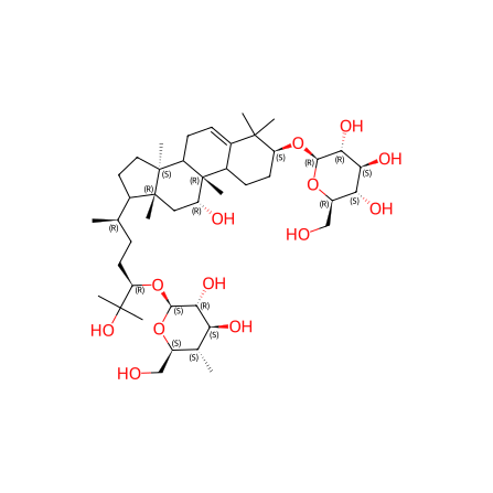 C[C@H]1[C@H](O)[C@@H](O)[C@H](O[C@H](CC[C@@H](C)C2CC[C@@]3(C)C4CC=C5C(CC[C@H](O[C@@H]6O[C@H](CO)[C@@H](O)[C@H](O)[C@H]6O)C5(C)C)[C@]4(C)[C@H](O)C[C@]23C)C(C)(C)O)O[C@@H]1CO